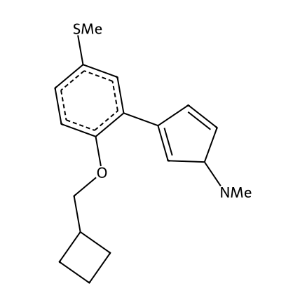 CNC1C=CC(c2cc(SC)ccc2OCC2CCC2)=C1